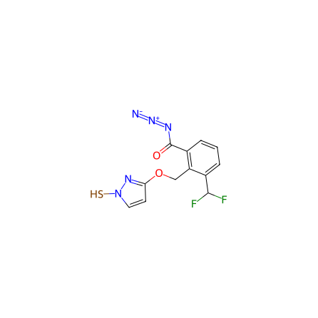 [N-]=[N+]=NC(=O)c1cccc(C(F)F)c1COc1ccn(S)n1